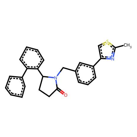 Cc1nc(-c2cccc(CN3C(=O)CCC3c3ccccc3-c3ccccc3)c2)cs1